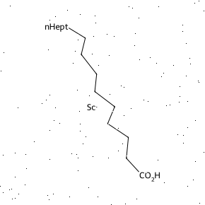 CCCCCCCCCCCCCCCC(=O)O.[Sc]